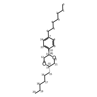 CCCCCCCc1ccc([C@@H]2CO[C@@H](CCCCCC)CO2)cc1